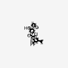 O=C(c1nc2c(C(F)(F)F)cc(C3CC3)cn2c1Cl)N1CCC(N2CCCC2=O)[C@H](O)C1